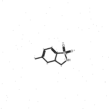 CC1=CC=C2C(CNS2(=O)=O)C1